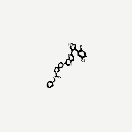 O=C(OCc1ccccc1)N1CCC2(CCN(c3cnc4ccc(-c5c[nH]nc5-c5cc(Cl)ccc5F)nc4c3)C2)C1